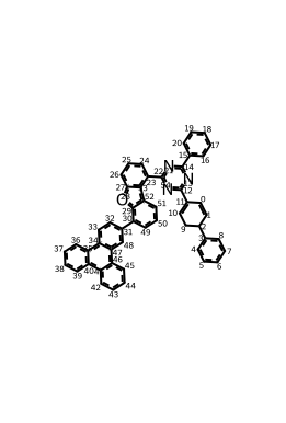 C1=CC(c2ccccc2)CC=C1c1nc(-c2ccccc2)nc(-c2cccc3oc4c(-c5ccc6c7ccccc7c7ccccc7c6c5)cccc4c23)n1